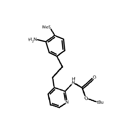 CSc1ccc(CCc2cccnc2NC(=O)OC(C)(C)C)cc1N